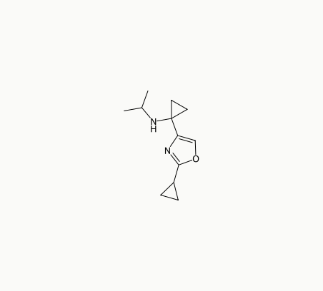 CC(C)NC1(c2coc(C3CC3)n2)CC1